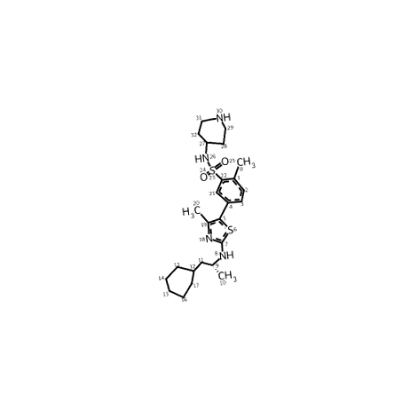 Cc1ccc(-c2sc(N[C@H](C)CC3CCCCC3)nc2C)cc1S(=O)(=O)NC1CCNCC1